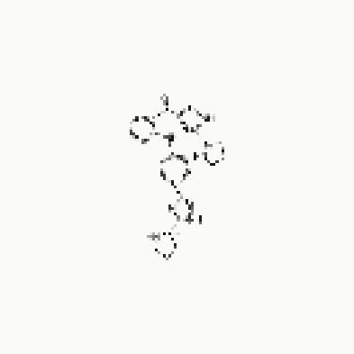 O=C(c1c[nH]c([C@@H]2CCCN2)n1)c1ccccc1Nc1ccc(-c2c[nH]c([C@@H]3CCCN3)n2)cc1